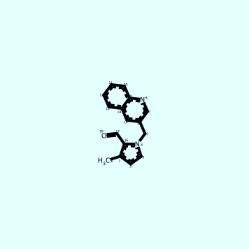 Cc1ccn(Cc2cnc3ccccc3c2)c1C=O